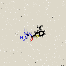 CC(C)c1cccc2sc(C(=O)N=C(N)N)cc12